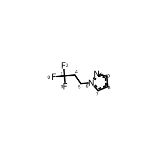 FC(F)(F)CCn1cc[c]n1